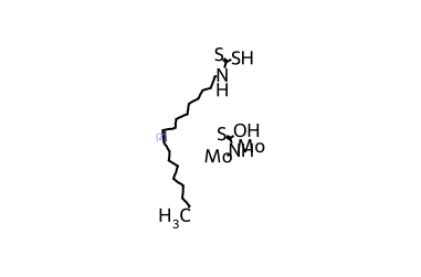 CCCCCCCC/C=C\CCCCCCCCNC(=S)S.OC(=S)[NH][Mo].[Mo]